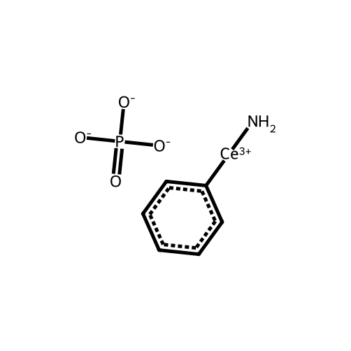 O=P([O-])([O-])[O-].[NH2][Ce+3][c]1ccccc1